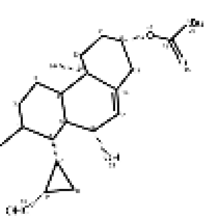 CC1CCC2C(C1[C@@H]1C[C@@H]1C=O)[C@@H](O)C=C1C[C@@H](OC(=O)C(C)(C)C)CC[C@@]12C